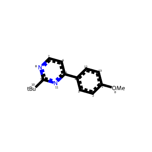 COc1ccc(-c2ccnc(C(C)(C)C)n2)cc1